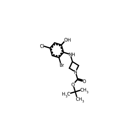 CC(C)(C)OC(=O)N1CC(Nc2c(O)cc(Cl)cc2Br)C1